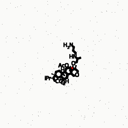 CC(=O)O[C@@H]1C[C@]23COC[C@](C)([C@@H]2CC[C@H]2C3=CC(=O)[C@@]3(C)[C@H](C(=O)O)[C@@](C)([C@H](C)C(C)C)CC[C@]23C)[C@H]1OCC(C)NCCCN